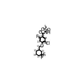 CS(=O)(=O)NC(=O)c1cc(Cl)c(OCC2CCCC(F)(F)C2)cc1F